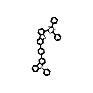 c1ccc(-c2nc(-c3ccccc3)nc(-c3cccc4c3sc3cc(-c5ccc(-c6ccc7c(c6)c6ccccc6n7-c6ccccc6)cc5)ccc34)n2)cc1